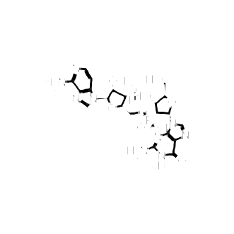 Nc1nc2c(ncn2[C@@H]2O[C@H](CO)[C@@H](O)[C@H]2P(=O)(O)OC[C@H]2O[C@@H](n3cnc4c(N)nccc43)[C@H](O)[C@@H]2O)c(=O)[nH]1